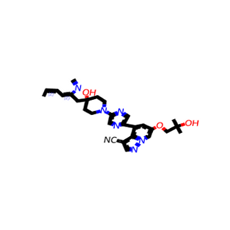 C=N/C(=C\C=C/C)CC1(O)CCN(c2cnc(-c3cc(OCC(C)(C)O)cn4ncc(C#N)c34)cn2)CC1